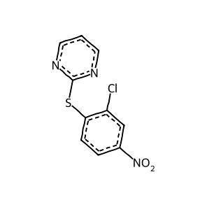 O=[N+]([O-])c1ccc(Sc2ncccn2)c(Cl)c1